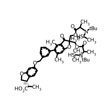 Cc1cc2c(c(C)c1-c1cccc(COc3ccc4c(c3)OC[C@H]4C(C)C(=O)O)c1)C(=O)C(COC(=O)C(C)N([SiH](C)C)C(C)(C)C)(COC(=O)C(C)N([SiH](C)C)C(C)(C)C)O2